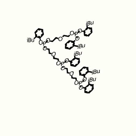 CCC(C)c1ccccc1OP(OCCOCCOP(OCCOCCOP(Oc1ccccc1C(C)CC)Oc1ccccc1C(C)CC)Oc1ccccc1C(C)CC)OCCOCCOP(Oc1ccccc1C(C)CC)Oc1ccccc1C(C)CC